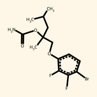 CC(C)CC(C)(COc1ccc(Br)c(F)c1F)OC(N)=O